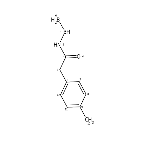 BBNC(=O)Cc1ccc(C)cc1